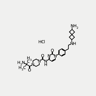 CC(C)(N)C(=O)N1CCN(C(=O)Nc2ccn(-c3ccc(CCNC4CC5(CC(N)C5)C4)cc3)c(=O)n2)CC1.Cl